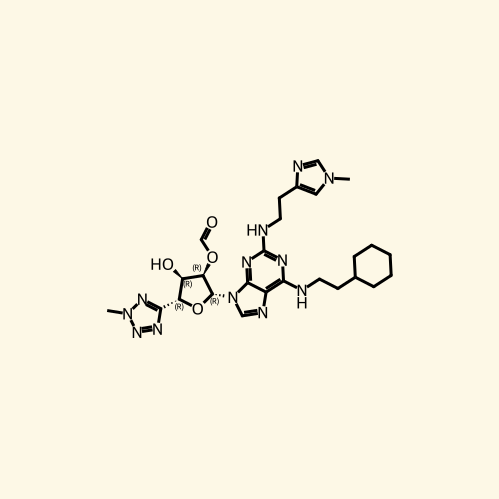 Cn1cnc(CCNc2nc(NCCC3CCCCC3)c3ncn([C@@H]4O[C@H](c5nnn(C)n5)[C@@H](O)[C@H]4OC=O)c3n2)c1